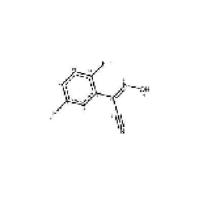 N#CC(=NO)c1cc(F)ccc1F